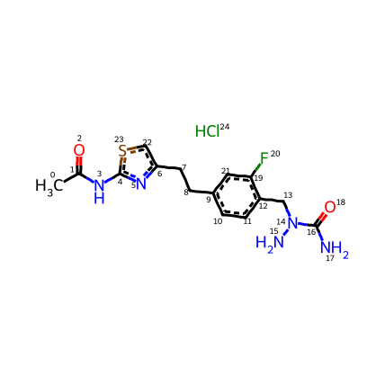 CC(=O)Nc1nc(CCc2ccc(CN(N)C(N)=O)c(F)c2)cs1.Cl